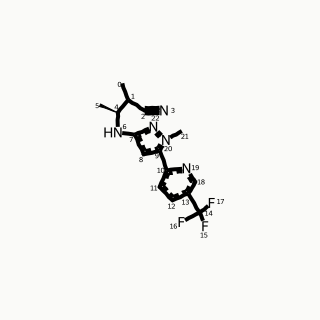 CC(C#N)[C@H](C)Nc1cc(-c2ccc(C(F)(F)F)cn2)n(C)n1